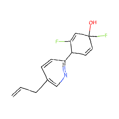 C=CCc1ccc(C2C=CC(O)(F)C=C2F)nc1